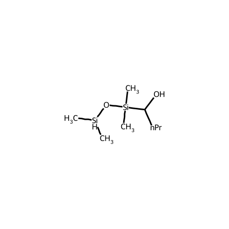 CCCC(O)[Si](C)(C)O[SiH](C)C